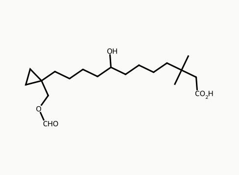 CC(C)(CCCCC(O)CCCCC1(COC=O)CC1)CC(=O)O